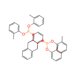 Cc1ccccc1OP(Oc1ccccc1C)OC1C2c3ccccc3C(c3ccccc32)C1OP(Oc1ccccc1C)Oc1ccccc1C